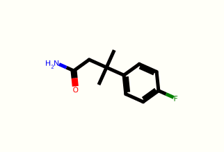 CC(C)(CC(N)=O)c1ccc(F)cc1